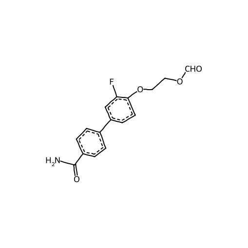 NC(=O)c1ccc(-c2ccc(OCCOC=O)c(F)c2)cc1